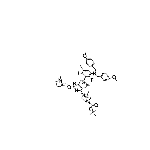 COc1ccc(CN(Cc2ccc(OC)cc2)c2cc(C)c(I)c([C@@H]3Cc4nc(OC[C@@H]5CCCN5C)nc(N5CCN(C(=O)OC(C)(C)C)C[C@@H]5C)c4C[C@H]3C)c2F)cc1